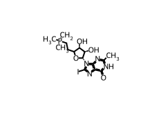 C=P(C)(C)CCC1O[C@@H](n2c(I)nc3c(=O)[nH]c(C)nc32)[C@H](O)[C@@H]1O